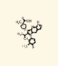 Cc1cc(-n2c(C(C)C)c([C@@H]3CC[C@@](C)(C(=O)O)C3)c3nc4[nH]ncc4cc32)ccc1F